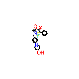 C[C@H]1C(=O)C(=O)C(c2ccccc2)SN1Cc1ccc(N2CCC(O)CC2)cc1F